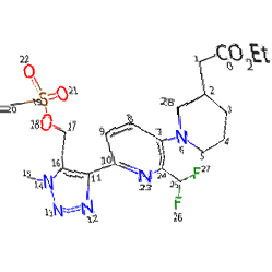 CCOC(=O)CC1CCCN(c2ccc(-c3nnn(C)c3COS(C)(=O)=O)nc2C(F)F)C1